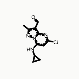 Cc1nn2c(NC3CC3)cc(Cl)nc2c1C=O